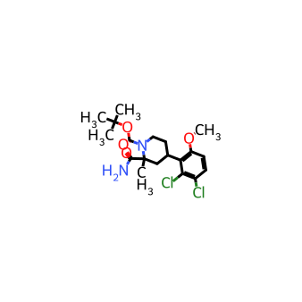 COc1ccc(Cl)c(Cl)c1C1CCN(C(=O)OC(C)(C)C)C(C)(C(N)=O)C1